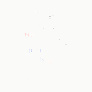 CCC(C)(C)c1cc(-n2nc3ccccc3[n+]2[O-])c(O)c(C(C)(C)CC)c1